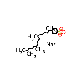 CC(C)CCCC(C)CCCC(C)CCCCC(C)c1ccc(S(=O)(=O)[O-])cc1.[Na+]